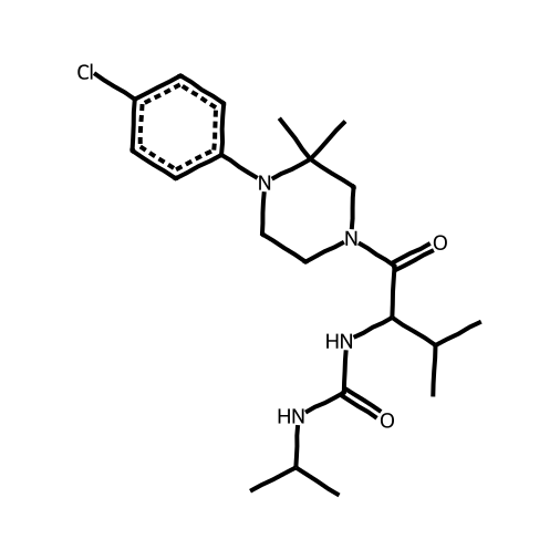 CC(C)NC(=O)NC(C(=O)N1CCN(c2ccc(Cl)cc2)C(C)(C)C1)C(C)C